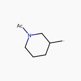 [CH2]C1CCCN(C(C)=O)C1